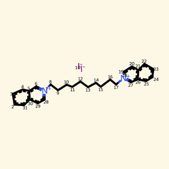 [I-].[I-].c1ccc2c[n+](CCCCCCCCCC[n+]3ccc4ccccc4c3)ccc2c1